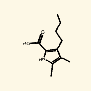 CCCCc1c(C(=O)O)[nH]c(C)c1C